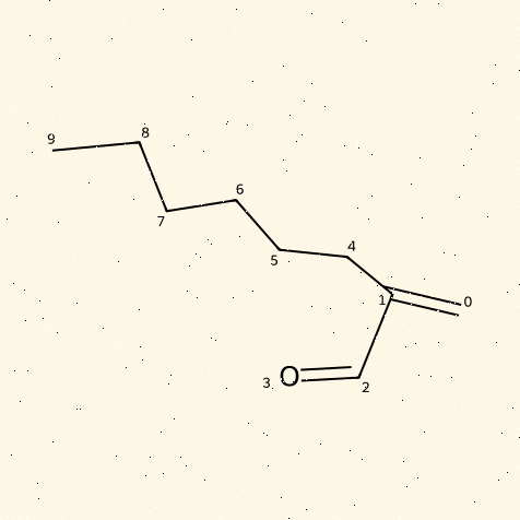 C=C(C=O)CCCCCC